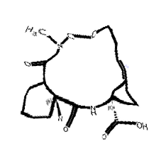 CN1CCCC/C=C2\C[C@@]2(C(=O)O)NC(=O)[C@@H]2CCCC2C1=O